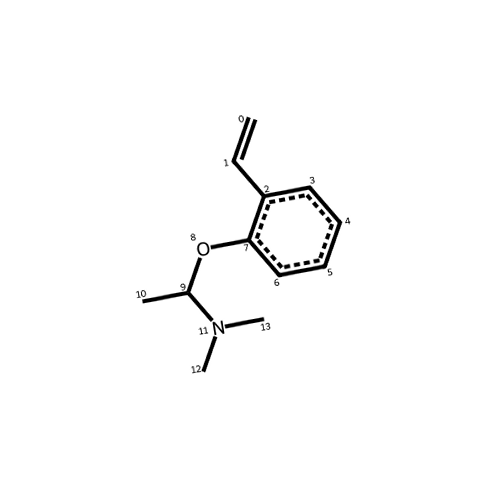 C=Cc1ccccc1OC(C)N(C)C